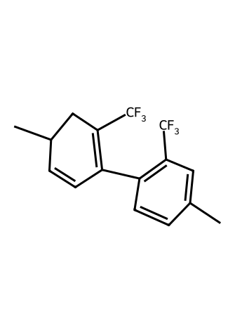 Cc1ccc(C2=C(C(F)(F)F)CC(C)C=C2)c(C(F)(F)F)c1